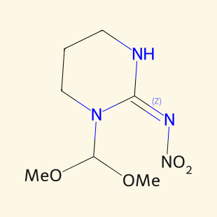 COC(OC)N1CCCN/C1=N/[N+](=O)[O-]